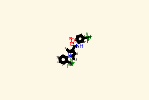 COc1ccc(C(F)(F)F)cc1NC(=O)c1cc(C)n(-c2ccccc2C(F)(F)F)c1C